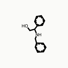 OCC(NCc1ccccc1)c1ccccc1